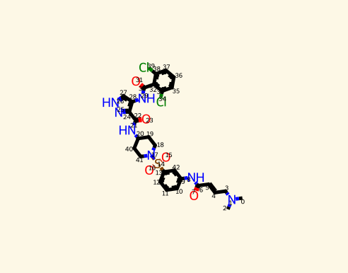 CN(C)CC=CC(=O)Nc1cccc(S(=O)(=O)N2CCC(NC(=O)c3n[nH]cc3NC(=O)c3c(Cl)cccc3Cl)CC2)c1